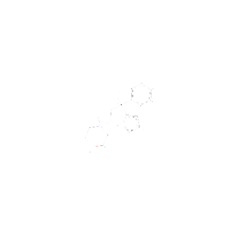 C[N+]1(CCC(O)(c2ccccc2)c2cccs2)CCOCC1.[I-]